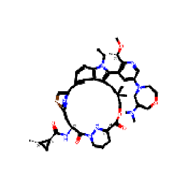 CCn1c(-c2cc(N3CCOCC(N(C)C)C3)cnc2[C@H](C)OC)c2c3cc(ccc31)-c1csc(n1)C[C@H](NC(=O)[C@H]1C[C@@H]1C)C(=O)N1CCC[C@H](N1)C(=O)OCC(C)(C)C2